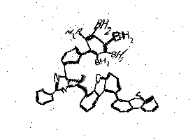 Bc1c(B)c(B)c(-c2cccc(-c3nc(-c4ccccc4)nc(-c4cccc5c4oc4cccc(-c6cccc7c6sc6ccccc67)c45)n3)c2)c(B)c1B